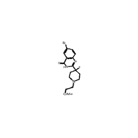 COCCN1CCC(F)(c2nc3ccc(Br)cc3c(=O)[nH]2)CC1